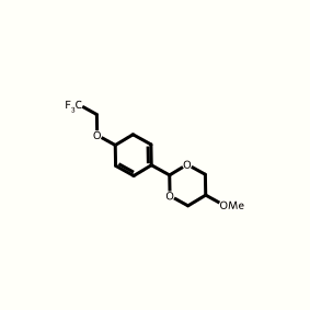 COC1COC(C2=CCC(OCC(F)(F)F)C=C2)OC1